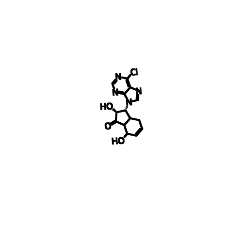 O=C1C2C(O)C=CCC2[C@@H](n2cnc3c(Cl)ncnc32)[C@@H]1O